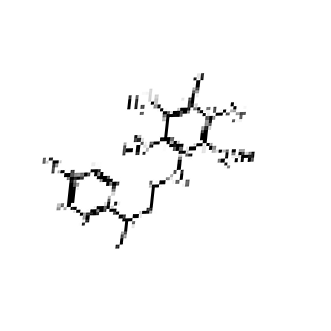 COc1c(OCCC(C)c2ccc(F)cc2)c(O)c(N)c(C)c1C(C)=O